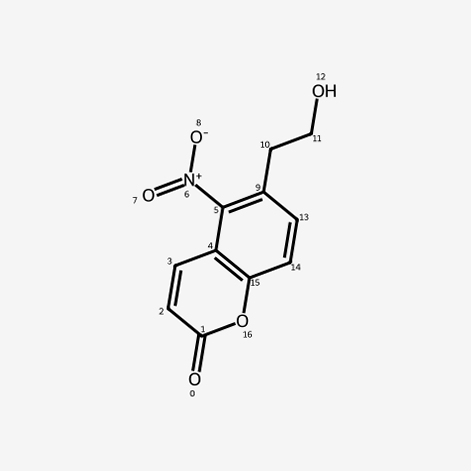 O=c1ccc2c([N+](=O)[O-])c(CCO)ccc2o1